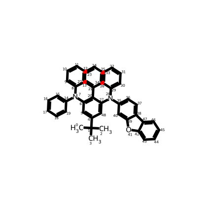 CC(C)(C)c1cc(N(c2ccccc2)c2ccccc2)c(-c2ccccc2)c(N(c2ccccc2)c2ccc3c(c2)oc2ccccc23)c1